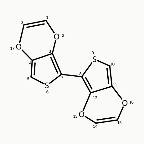 C1=COc2c(csc2-c2scc3c2OC=CO3)O1